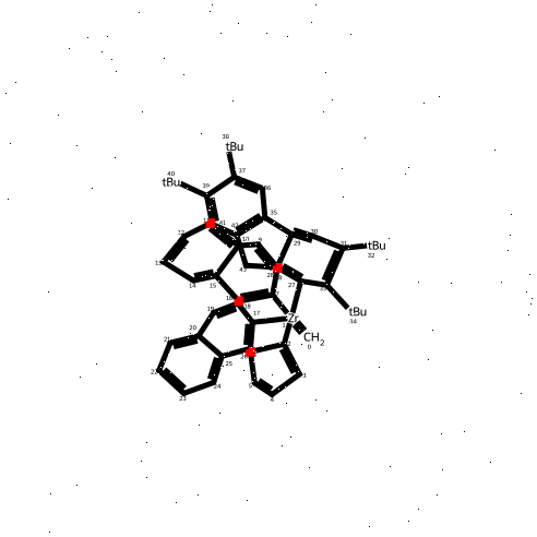 [CH2]=[Zr]([C]1=CC=CC1)([c]1ccc2ccccc2c1)([c]1ccc2ccccc2c1)[c]1c2c(cc(C(C)(C)C)c1C(C)(C)C)-c1cc(C(C)(C)C)c(C(C)(C)C)cc1C2